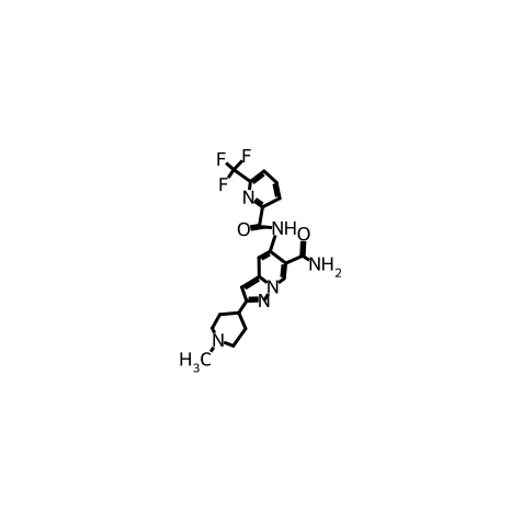 CN1CCC(c2cc3cc(NC(=O)c4cccc(C(F)(F)F)n4)c(C(N)=O)cn3n2)CC1